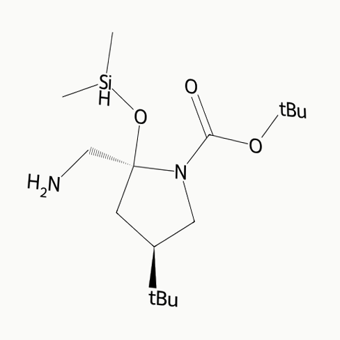 C[SiH](C)O[C@]1(CN)C[C@H](C(C)(C)C)CN1C(=O)OC(C)(C)C